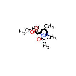 CC=CC(C)C(C)C(=CC(=O)OCC)NC(C)=O